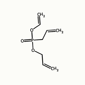 C=CCOP(=O)(CC=C)OC=C